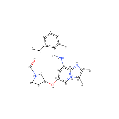 CCc1cccc(C)c1CNc1cc(OC2CCN(C=O)C2)cn2c(C)c(C)nc12